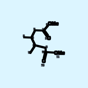 COC(=O)CC(C)C(C)CC(=O)OC